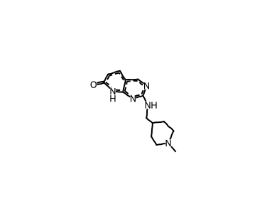 CN1CCC(CNc2ncc3ccc(=O)[nH]c3n2)CC1